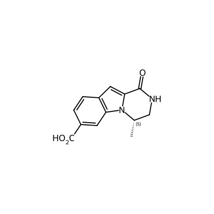 C[C@H]1CNC(=O)c2cc3ccc(C(=O)O)cc3n21